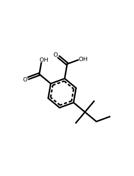 CCC(C)(C)c1ccc(C(=O)O)c(C(=O)O)c1